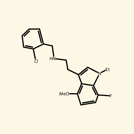 CCn1cc(CCNCc2ccccc2Cl)c2c(OC)ccc(F)c21